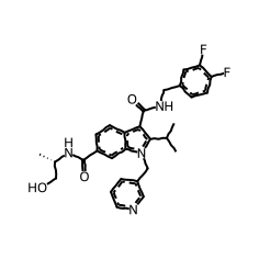 CC(C)c1c(C(=O)NCc2ccc(F)c(F)c2)c2ccc(C(=O)N[C@@H](C)CO)cc2n1Cc1cccnc1